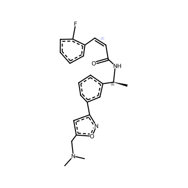 C[C@H](NC(=O)/C=C\c1ccccc1F)c1cccc(-c2cc(CN(C)C)on2)c1